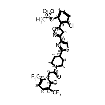 CS(=O)(=O)Oc1cccc(Cl)c1C1CC(c2csc(C3CCN(C(=O)Cn4c(C(F)(F)F)ccc(C(F)(F)F)c4=O)CC3)n2)=NO1